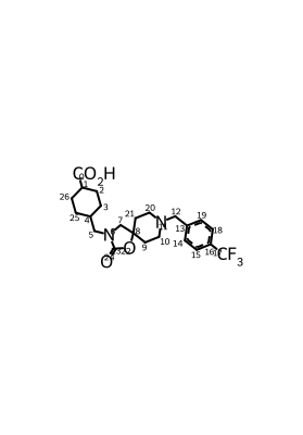 O=C(O)C1CCC(CN2CC3(CCN(Cc4ccc(C(F)(F)F)cc4)CC3)OC2=O)CC1